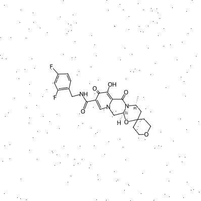 C[C@@H]1CC2(CCOCC2)O[C@H]2Cn3cc(C(=O)NCc4ccc(F)cc4F)c(=O)c(O)c3C(=O)N12